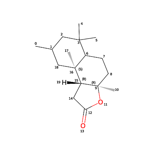 CC1CC(C)(C)C2CC[C@@]3(C)OC(=O)C[C@@H]3[C@@]2(C)C1